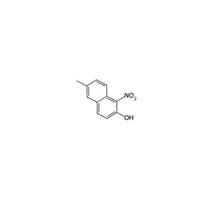 Cc1ccc2c([N+](=O)[O-])c(O)ccc2c1